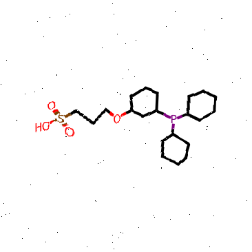 O=S(=O)(O)CCCOC1CCCC(P(C2CCCCC2)C2CCCCC2)C1